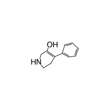 OC1=C(c2ccccc2)CCNC1